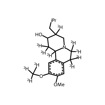 [2H]C([2H])([2H])Oc1cc2c(cc1OC)C([2H])([2H])C([2H])([2H])N1CC([2H])(CC(C)C)C(O)C([2H])([2H])C21[2H]